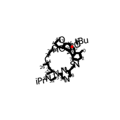 Cc1cc2nc3sc2c(c1C(OC(C)(C)C)C(=O)O)-c1ccc2c(c1)C(CCCCC(C)CC1CN(C(C)C)CCN1c1cncc-3n1)CCO2